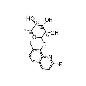 C[C@H]1OC(Oc2c(I)ccc3ccc(F)nc23)[C@H](O)[C@@H](O)[C@@H]1O